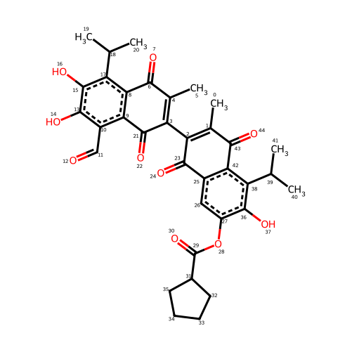 CC1=C(C2=C(C)C(=O)c3c(c(C=O)c(O)c(O)c3C(C)C)C2=O)C(=O)c2cc(OC(=O)C3CCCC3)c(O)c(C(C)C)c2C1=O